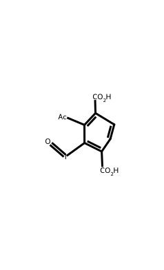 CC(=O)c1c(C(=O)O)ccc(C(=O)O)c1I=O